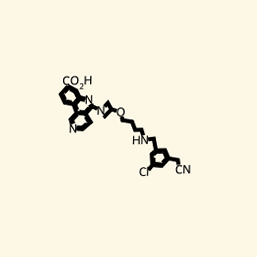 N#CCc1cc(Cl)cc(CNCCCCOC2CN(c3nc4cc(C(=O)O)ccc4c4cnccc34)C2)c1